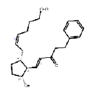 O=CCCC/C=C\C[C@H]1CC[C@@H](O)[C@@H]1/C=C/C(=O)CCc1ccccc1